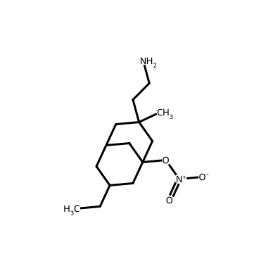 CCC1CC2CC(C)(CCN)CC(O[N+](=O)[O-])(C1)C2